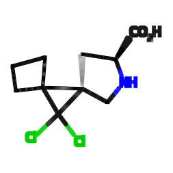 O=C(O)[C@@H]1C[C@]2(CN1)C(Cl)(Cl)C21CCC1